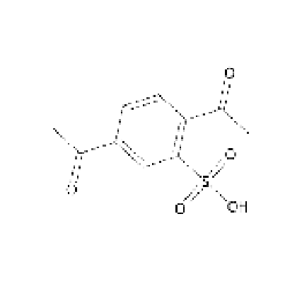 CC(=O)c1ccc(C(C)=O)c(S(=O)(=O)O)c1